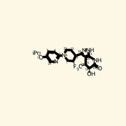 CC(C)Oc1ccc(N2CCC(c3n[nH]c4c3[C@@H](C(F)(F)F)[C@@H](O)C(=O)N4)CC2)nc1